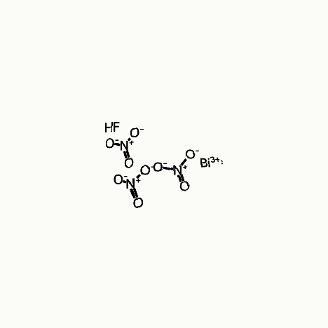 F.O=[N+]([O-])[O-].O=[N+]([O-])[O-].O=[N+]([O-])[O-].[Bi+3]